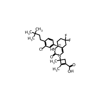 CC1=C(C(=O)O)CC1(C)N1C=C2CC(F)(F)CC[C@@]2(c2ccc(CCC(C)(C)C)c(Cl)c2)NC1=O